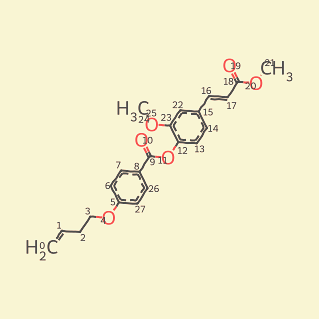 C=CCCOc1ccc(C(=O)Oc2ccc(/C=C/C(=O)OC)cc2OC)cc1